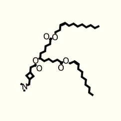 CCCCCCCC/C=C\CCOC(=O)CCCCC(CCCCC(=O)OC/C=C\CCCCCCCC)OC(=O)CC1CC(CN(C)C)C1